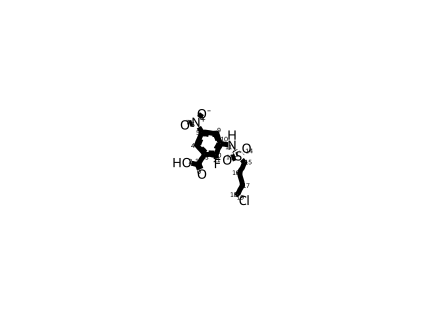 O=C(O)c1cc([N+](=O)[O-])cc(NS(=O)(=O)CCCCCl)c1F